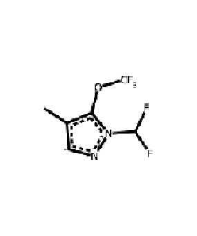 Cc1[c]nn(C(F)F)c1OC(F)(F)F